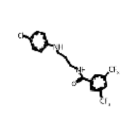 O=C(NCCCNc1ccc(Cl)cc1)c1cc(C(F)(F)F)cc(C(F)(F)F)c1